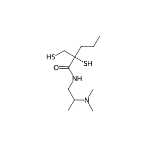 CCCC(S)(CS)C(=O)NCC(C)N(C)C